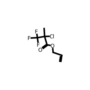 C=CCOC(=O)C(C)(Cl)C(F)(F)F